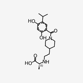 CC(C)c1cc(C(=O)N2CCC(CCN[C@@H](C)C(=O)O)CC2)c(O)cc1O